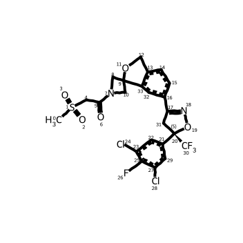 CS(=O)(=O)CC(=O)N1CC2(C1)OCc1ccc(C3=NO[C@@](c4cc(Cl)c(F)c(Cl)c4)(C(F)(F)F)C3)cc12